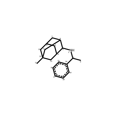 CC(NC1C2CC3CC1CC(C)(C3)C2)c1ccccc1